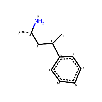 CC(C[C@H](C)N)c1ccccc1